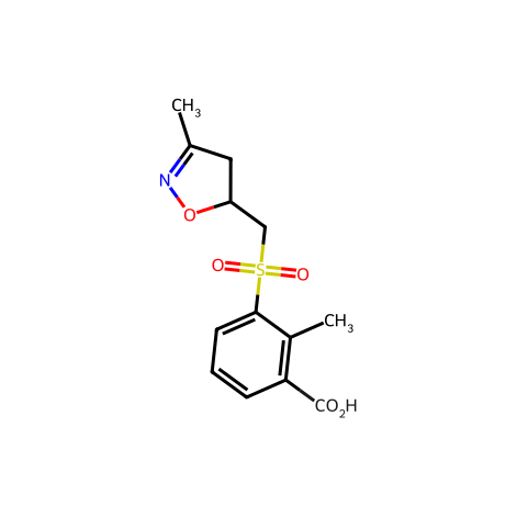 CC1=NOC(CS(=O)(=O)c2cccc(C(=O)O)c2C)C1